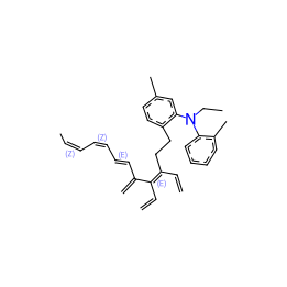 C=C/C(CCc1ccc(C)cc1N(CC)c1ccccc1C)=C(\C=C)C(=C)/C=C/C=C\C=C/C